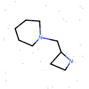 C1CCN(CC2CC[N]2)CC1